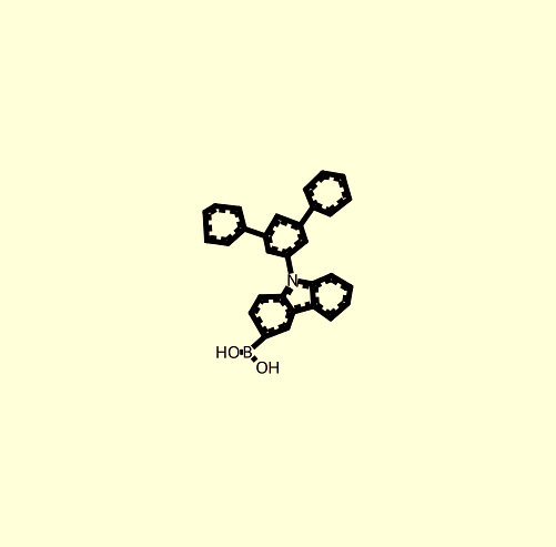 OB(O)c1ccc2c(c1)c1ccccc1n2-c1cc(-c2ccccc2)cc(-c2ccccc2)c1